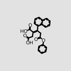 O=C(O)CC(C(=O)O)=C(CC(=O)Oc1ccccc1)c1cccc2ccccc12